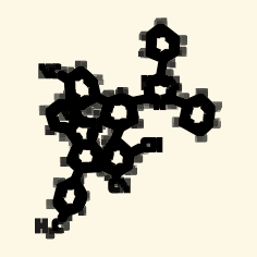 Cc1ccc(-c2ccc3c(c2)c2ccccc2n3-c2c(-c3ccc(C#N)cc3C#N)cc(-c3nc(-c4ccccc4)nc(-c4ccccc4)n3)cc2-c2ccc(C#N)cc2C#N)cc1